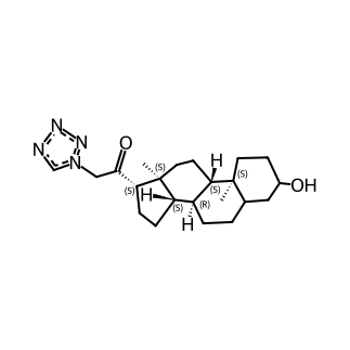 C[C@]12CC[C@H]3[C@@H](CCC4CC(O)CC[C@@]43C)[C@@H]1CC[C@@H]2C(=O)Cn1cnnn1